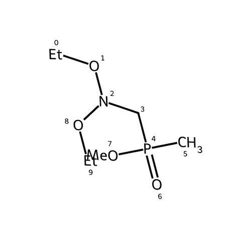 CCON(CP(C)(=O)OC)OCC